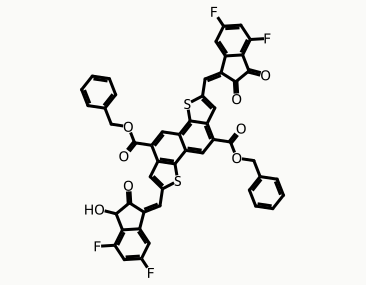 O=C1C(=O)c2c(F)cc(F)cc2/C1=C/c1cc2c(C(=O)OCc3ccccc3)cc3c(cc(C(=O)OCc4ccccc4)c4cc(/C=C5\C(=O)C(O)c6c(F)cc(F)cc65)sc43)c2s1